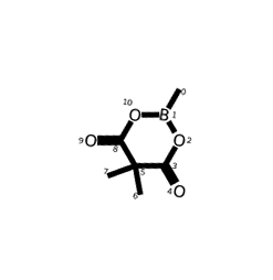 CB1OC(=O)C(C)(C)C(=O)O1